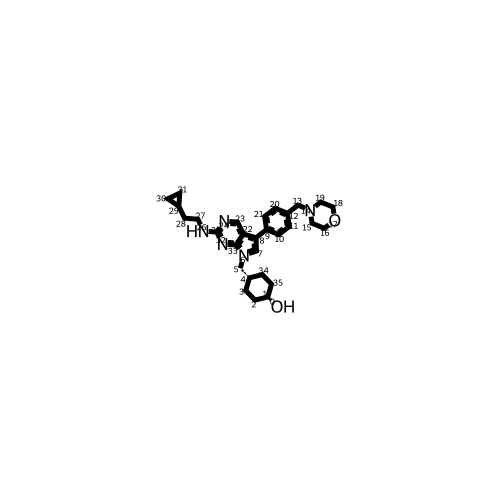 O[C@H]1CC[C@H](Cn2cc(-c3ccc(CN4CCOCC4)cc3)c3cnc(NCCC4CC4)nc32)CC1